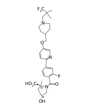 CC(C)(CN1CCC(COc2ccc(-c3ccc(C(=O)N4C[C@H](O)C[C@@]4(C)C(=O)O)c(F)c3)nc2)CC1)C(F)(F)F